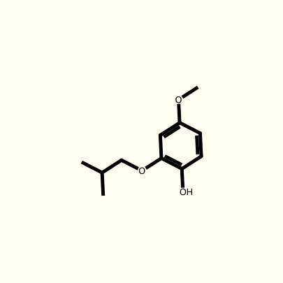 COc1ccc(O)c(OCC(C)C)c1